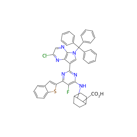 O=C(O)C1C2CCC(CC2)C1Nc1nc(-c2cn(C(c3ccccc3)(c3ccccc3)c3ccccc3)c3ncc(Cl)nc23)nc(-c2cc3ccccc3s2)c1F